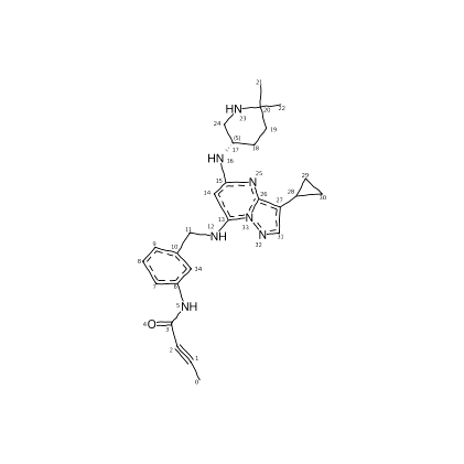 CC#CC(=O)Nc1cccc(CNc2cc(N[C@H]3CCC(C)(C)NC3)nc3c(C4CC4)cnn23)c1